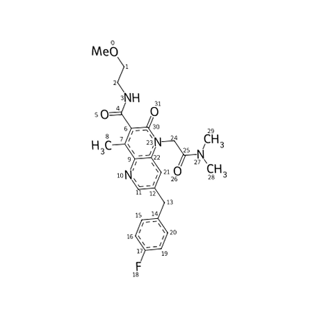 COCCNC(=O)c1c(C)c2ncc(Cc3ccc(F)cc3)cc2n(CC(=O)N(C)C)c1=O